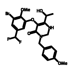 COc1ccc(CN2CNC(C(C)O)=C(Oc3cc(C(F)F)cc(Br)c3OC)C2=O)cc1